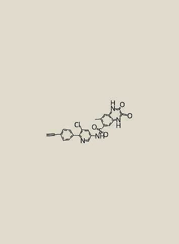 C#Cc1ccc(-c2ncc(NS(=O)(=O)c3cc4[nH]c(=O)c(=O)[nH]c4cc3C)cc2Cl)cc1